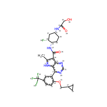 Cc1[nH]c2c(-c3cc(C(F)(F)F)ccc3OCC3CC3)ncnc2c1C(=O)N[C@H]1CC[C@@H](NC(=O)CO)C[C@H]1F